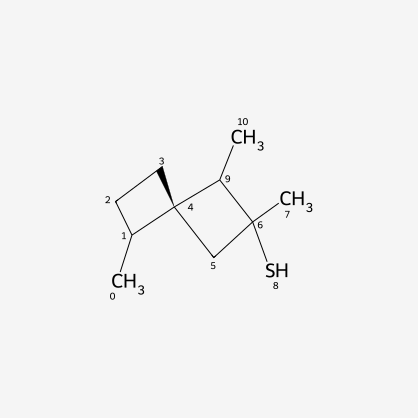 CC1CC[C@@]12CC(C)(S)C2C